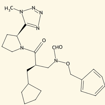 Cn1nnnc1[C@@H]1CCCN1C(=O)[C@H](CC1CCCC1)CN(C=O)OCc1ccccc1